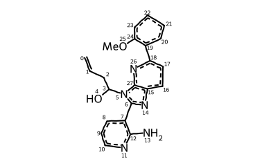 C=CCC(O)n1c(-c2cccnc2N)nc2ccc(-c3ccccc3OC)nc21